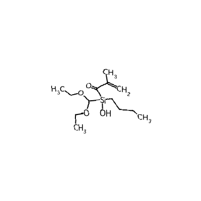 C=C(C)C(=O)[Si](O)(CCCC)C(OCC)OCC